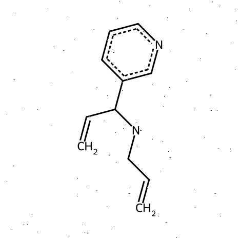 C=CC[N]C(C=C)c1cccnc1